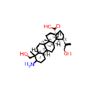 C=C(CO)[C@@H]1CC[C@]2(C(=O)O)CC[C@]3(C)[C@H](CC[C@@H]4[C@@]5(C)CCC(N)C(C)(CO)[C@@H]5CC[C@]43C)[C@@H]12